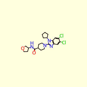 O=C(NC1CCOC1)C1CCN(c2nc3cc(Cl)c(Cl)cc3n2C2CCCC2)CC1